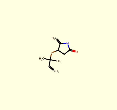 C=CC(C)(C)SC1CC(=O)NC1=C